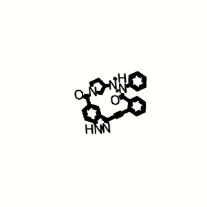 CN(C)C1CCN(C(=O)c2ccc3[nH]nc(C#Cc4ccccc4C(=O)Nc4ccccc4)c3c2)C1